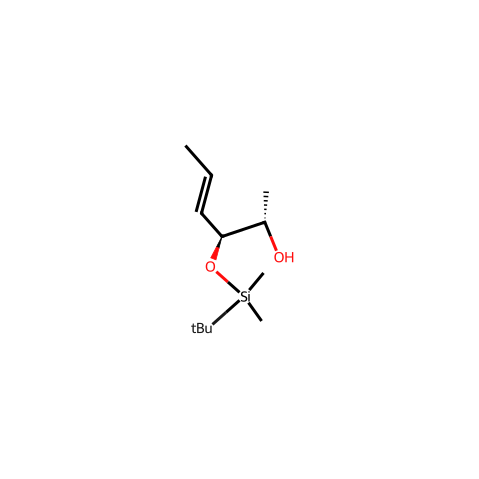 CC=C[C@H](O[Si](C)(C)C(C)(C)C)[C@H](C)O